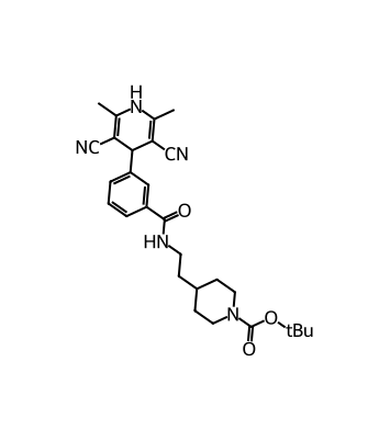 CC1=C(C#N)C(c2cccc(C(=O)NCCC3CCN(C(=O)OC(C)(C)C)CC3)c2)C(C#N)=C(C)N1